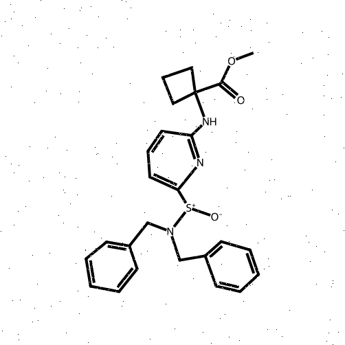 COC(=O)C1(Nc2cccc([S+]([O-])N(Cc3ccccc3)Cc3ccccc3)n2)CCC1